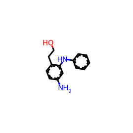 Nc1ccc(CCO)c(Nc2ccccc2)c1